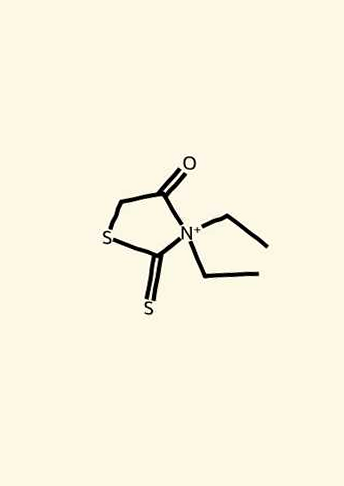 CC[N+]1(CC)C(=O)CSC1=S